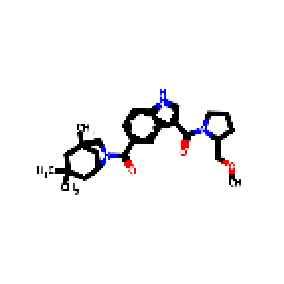 COCC1CCCN1C(=O)c1c[nH]c2ccc(C(=O)N3CC4(C)CC3CC(C)(C)C4)cc12